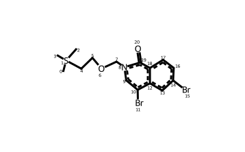 CS(C)(C)CCOCn1cc(Br)c2cc(Br)ccc2c1=O